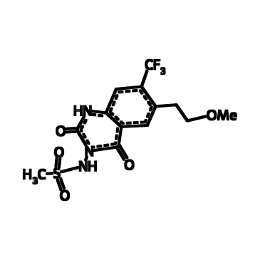 COCCc1cc2c(=O)n(NS(C)(=O)=O)c(=O)[nH]c2cc1C(F)(F)F